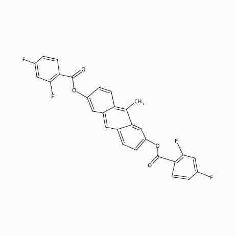 Cc1c2ccc(OC(=O)c3ccc(F)cc3F)cc2cc2ccc(OC(=O)c3ccc(F)cc3F)cc12